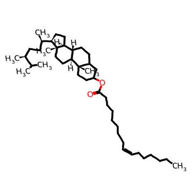 CCCCCC/C=C\CCCCCCCC(=O)OC1CC[C@@]2(C)C(CC[C@H]3[C@@H]4CC[C@H]([C@H](C)CC[C@H](C)C(C)C)[C@@]4(C)CC[C@@H]32)C1